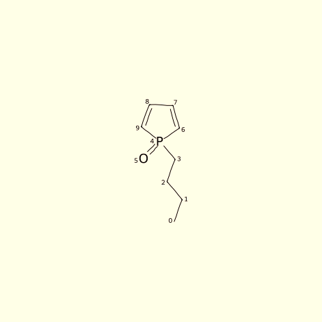 CCCCP1(=O)C=CC=C1